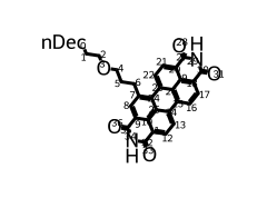 CCCCCCCCCCCCOCCCc1cc2c3c(ccc4c5ccc6c7c(ccc(c1c34)c75)C(=O)NC6=O)C(=O)NC2=O